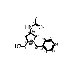 CC(=O)N[C@@H]1C[C@H](CO)N(Cc2ccccc2)C1